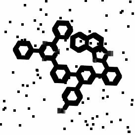 N#Cc1ccc(-c2cc(-c3ccccc3C3Nc4ccc5ccccc5c4O3)ccc2-c2cccc(-c3nc(-c4ccccc4)nc(-c4ccccc4)n3)c2)cc1